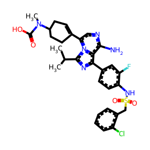 CC(C)c1nc(-c2ccc(NS(=O)(=O)Cc3ccccc3Cl)c(F)c2)c2c(N)ncc(C3=CCC(N(C)C(=O)O)CC3)n12